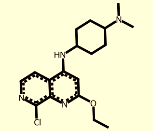 CCOc1cc(NC2CCC(N(C)C)CC2)c2ccnc(Cl)c2n1